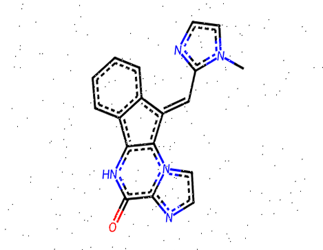 Cn1ccnc1C=c1c2ccccc2c2[nH]c(=O)c3nccn3c12